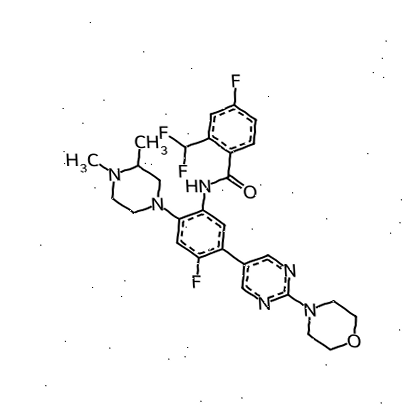 CC1CN(c2cc(F)c(-c3cnc(N4CCOCC4)nc3)cc2NC(=O)c2ccc(F)cc2C(F)F)CCN1C